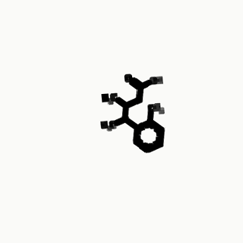 Cc1ccccc1C(C)C(C)CC(=O)O